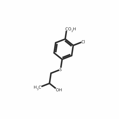 CC(O)CSc1ccc(C(=O)O)c(Cl)c1